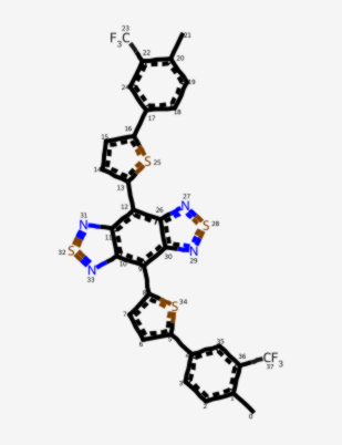 Cc1ccc(-c2ccc(-c3c4c(c(-c5ccc(-c6ccc(C)c(C(F)(F)F)c6)s5)c5nsnc35)N=S=N4)s2)cc1C(F)(F)F